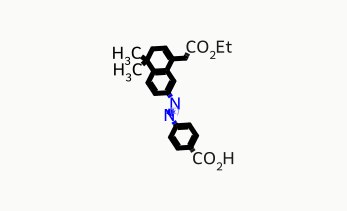 CCOC(=O)CC1=CCC(C)(C)c2ccc(/N=N/c3ccc(C(=O)O)cc3)cc21